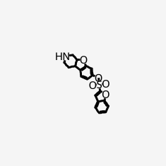 O=S(=O)(Oc1ccc2c(c1)OC1CNCCC21)c1cc2ccccc2o1